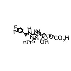 CCCSc1nc(N[C@H]2C[C@H]2c2ccc(F)c(F)c2)c2nnn([C@@H]3C[C@H](COCC(=O)O)O[C@H]3CO)c2n1